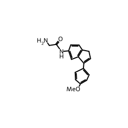 COc1ccc(C2=CCc3ccc(NC(=O)CN)cc32)cc1